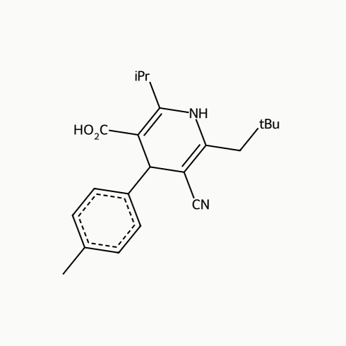 Cc1ccc(C2C(C#N)=C(CC(C)(C)C)NC(C(C)C)=C2C(=O)O)cc1